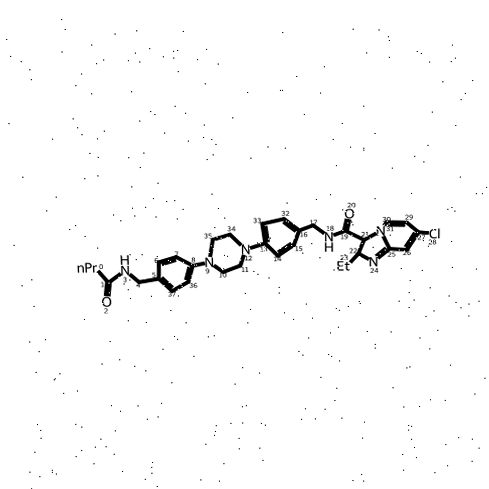 CCCC(=O)NCc1ccc(N2CCN(c3ccc(CNC(=O)C4C(CC)N=C5C=C(Cl)C=CN54)cc3)CC2)cc1